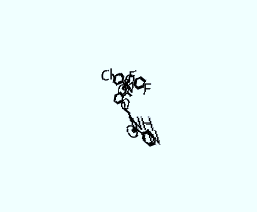 CC(c1ccccc1OCCCNC(=O)c1cccnc1)N(c1cc(F)ccc1F)S(=O)(=O)c1ccc(Cl)cc1